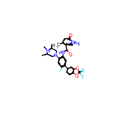 CC1CN(c2cc(F)c(-c3ccc4c(c3)OC(F)(F)O4)cc2NC(=O)c2c[nH]c(=O)cc2C(F)(F)F)CC(C)N1C